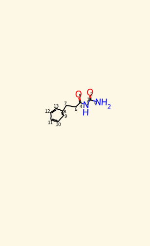 NC(=O)NC(=O)CCc1ccccc1